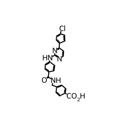 O=C(O)c1ccc(CNC(=O)c2ccc(Nc3nccc(-c4ccc(Cl)cc4)n3)cc2)cc1